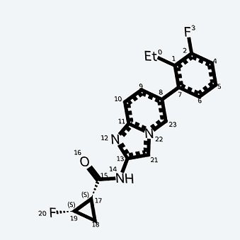 CCc1c(F)cccc1-c1ccc2nc(NC(=O)[C@@H]3C[C@@H]3F)cn2c1